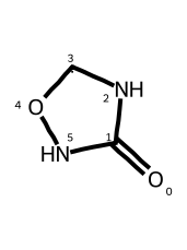 O=C1N[CH]ON1